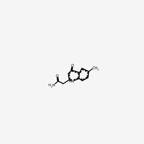 Cc1ccc2[nH]c(CC(N)=O)cc(=O)c2c1